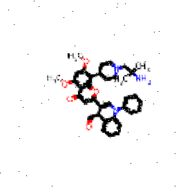 COc1cc(OC)c2c(=O)cc(C3=CN(c4ccccc4)c4ccccc4C3C=O)oc2c1C1=CCN(CC(C)(C)N)CC1